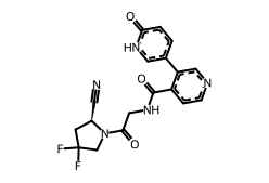 N#C[C@@H]1CC(F)(F)CN1C(=O)CNC(=O)c1ccncc1-c1ccc(=O)[nH]c1